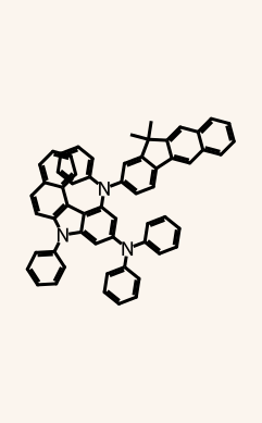 CC1(C)c2cc(N(c3ccccc3)c3cc(N(c4ccccc4)c4ccccc4)cc4c3c3c5ccccc5ccc3n4-c3ccccc3)ccc2-c2cc3ccccc3cc21